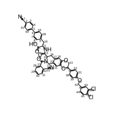 N#Cc1ccc(-c2ccc(CC(NC(=O)C3Cc4cc5c(cc4CN3C(=O)c3ccccc3C#N)OC(c3ccc(OCc4ccc(Cl)c(Cl)c4)cc3)CO5)C(=O)O)cc2)cc1